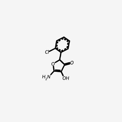 NC1=C(O)C(=O)C(c2ccccc2Cl)O1